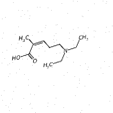 CCN(CC)CCC=C(C)C(=O)O